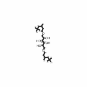 CC(CCOC[C@@H](O)[C@@H](O)[C@H](O)[C@@H](O)COCCC(C)CC(C)(C)C)CC(C)(C)C